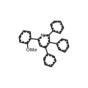 COc1ccccc1-c1cc(-c2ccccc2)c(-c2ccccc2)c(-c2ccccc2)n1